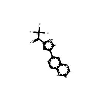 O=C(c1cc(-c2ccc3nccnc3c2)cs1)C(F)(F)F